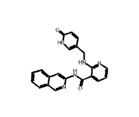 O=C(Nc1cc2ccccc2cn1)c1cccnc1NCc1ccc(=O)[nH]c1